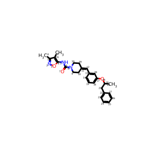 Cc1noc(NC(=O)N2CCC(=Cc3cccc(OC(C)Cc4ccccc4)c3)CC2)c1C